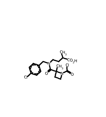 CC(CCN(Cc1ccc(Cl)cc1)C(=O)C1(C)CCN1C(=O)Cl)C(=O)O